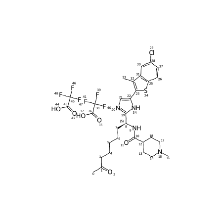 CC(=O)CCCCC[C@H](NC(=O)C1CCN(C)CC1)c1ncc(-c2sc3ccc(Cl)cc3c2C)[nH]1.O=C(O)C(F)(F)F.O=C(O)C(F)(F)F